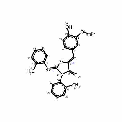 CCCOc1cc(/C=C2\S/C(=N\c3ccccc3C)N(c3ccccc3C)C2=O)ccc1O